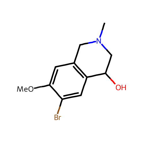 COc1cc2c(cc1Br)C(O)CN(C)C2